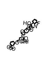 CS(=O)(=O)c1cccc(OCC(O)CN(C(=O)O)C2COC3(CCN(S(=O)(=O)c4cnc5c(F)cccc5c4O)CC3)C2)c1